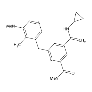 C=C(NC1CC1)c1cc(Cc2cncc(NC)c2C)nc(C(=O)NC)c1